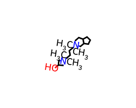 CC(C)(CCC(C)(C)N1CCC2CCCC2C1)N1CC(O)C1